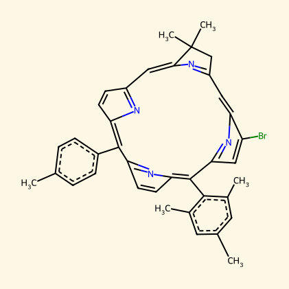 Cc1ccc(C2=C3C=CC(=N3)C=C3N=C(C=C4N=C(C=C4Br)C(c4c(C)cc(C)cc4C)=C4C=CC2=N4)CC3(C)C)cc1